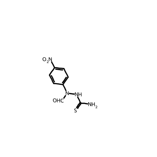 NC(=S)NN(C=O)c1ccc([N+](=O)[O-])cc1